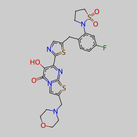 O=c1c(O)c(-c2ncc(Cc3ccc(F)cc3N3CCCS3(=O)=O)s2)nc2sc(CN3CCOCC3)cn12